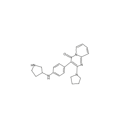 O=c1c(-c2ccc(NC3CCNC3)cc2)c(N2CCCC2)nc2ccccn12